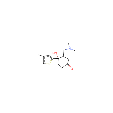 Cc1csc(C2(O)CCC(=O)CC2CN(C)C)c1